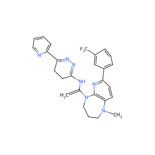 C=C(NC1=NN=C(c2ccccn2)CC1)N1CCCN(C)c2ccc(-c3cccc(C(F)(F)F)c3)nc21